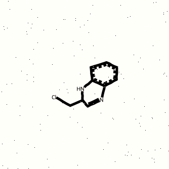 ClC[C]1C=Nc2ccccc2N1